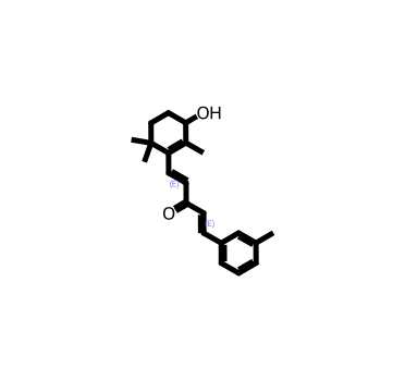 CC1=C(/C=C/C(=O)/C=C/c2cccc(C)c2)C(C)(C)CCC1O